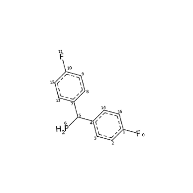 Fc1ccc(C(P)c2ccc(F)cc2)cc1